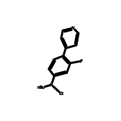 CCCCN(CC)c1c[c]c(-c2ccncc2)c(F)c1